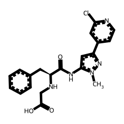 Cn1nc(-c2ccnc(Cl)c2)cc1NC(=O)[C@H](Cc1ccccc1)NCC(=O)O